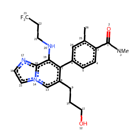 CNC(=O)c1ccc(-c2c(CCCO)cn3ccnc3c2NCCC(F)(F)F)cc1C